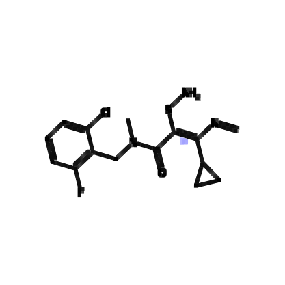 C=N/C(=C(\SN)C(=O)N(C)Cc1c(F)cccc1Cl)C1CC1